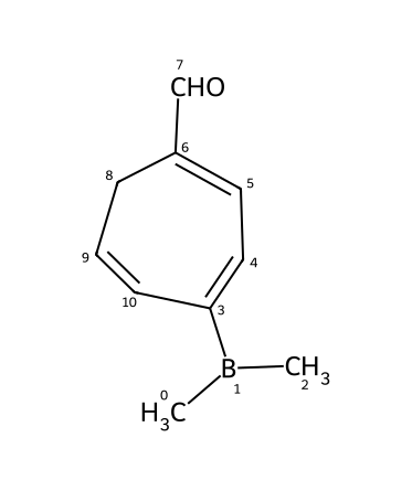 CB(C)C1=CC=C(C=O)CC=C1